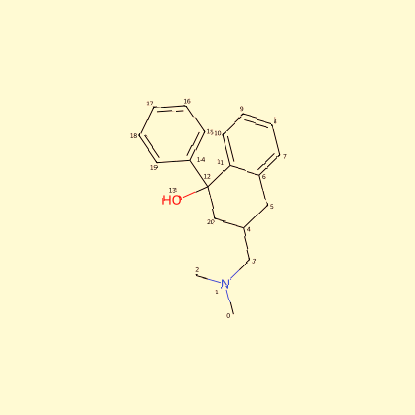 CN(C)CC1Cc2ccccc2C(O)(c2ccccc2)C1